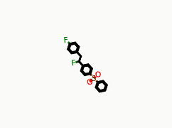 O=S(=O)(c1ccccc1)c1ccc(C(F)Cc2ccc(F)cc2)cc1